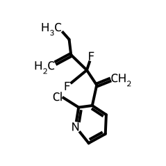 C=C(CC)C(F)(F)C(=C)c1cccnc1Cl